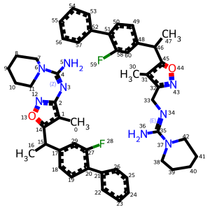 Cc1c(/N=C(/N)N2CCCCC2)noc1C(C)c1ccc(-c2ccccc2)c(F)c1.Cc1c(C/N=C(\N)N2CCCCC2)noc1C(C)c1ccc(-c2ccccc2)c(F)c1